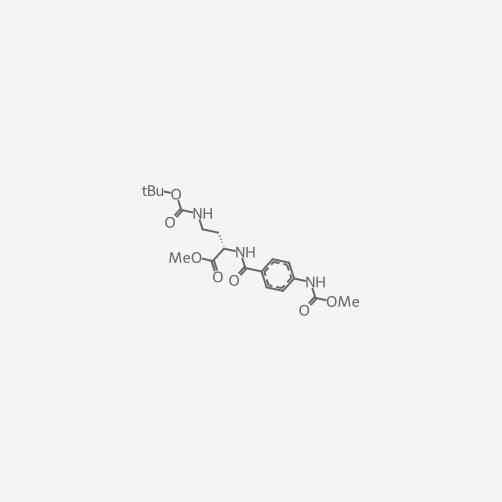 COC(=O)Nc1ccc(C(=O)N[C@@H](CCNC(=O)OC(C)(C)C)C(=O)OC)cc1